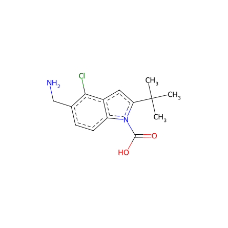 CC(C)(C)c1cc2c(Cl)c(CN)ccc2n1C(=O)O